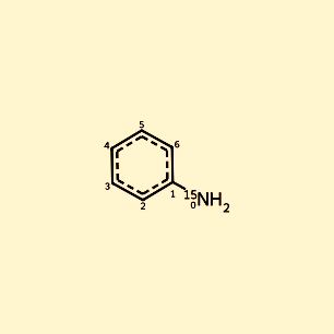 [15NH2]c1ccccc1